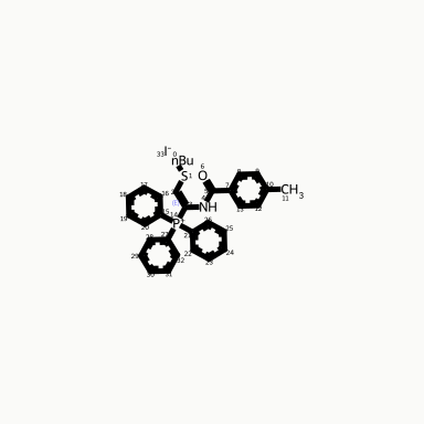 CCCCS/C=C(\NC(=O)c1ccc(C)cc1)[P+](c1ccccc1)(c1ccccc1)c1ccccc1.[I-]